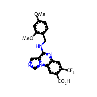 COc1ccc(CNc2nc3cc(C(F)(F)F)c(C(=O)O)cc3n3cncc23)c(OC)c1